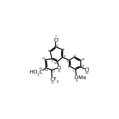 COc1cc(-c2cc(Cl)cc3c2OC(C(F)(F)F)C(C(=O)O)=C3)ccc1Cl